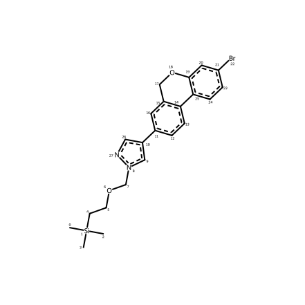 C[Si](C)(C)CCOCn1cc(-c2ccc3c(c2)COc2cc(Br)ccc2-3)cn1